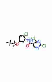 CC(C)(C)[Si](C)(C)Oc1ccc(Cl)c(NC(=O)c2cnc(Cl)nc2Cl)c1